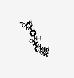 CCOc1cncc(-c2ccc(NC(=O)C(C)(C)c3ccnc(NS(=O)(=O)C(C)(C)C)n3)cc2)n1